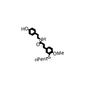 CCCCCSc1cc(/C=C/C(=O)NCCc2ccc(O)cc2)ccc1OC